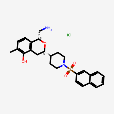 Cc1ccc2c(c1O)C[C@@H](C1CCN(S(=O)(=O)c3ccc4ccccc4c3)CC1)O[C@H]2CN.Cl